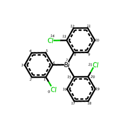 Clc1cccc[c]1[Bi]([c]1ccccc1Cl)[c]1ccccc1Cl